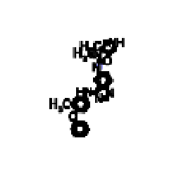 Cc1cc(Nc2ncnc3ccc(/N=C4\OC5CNCC5(C)N4C)cc23)ccc1Oc1ccccc1